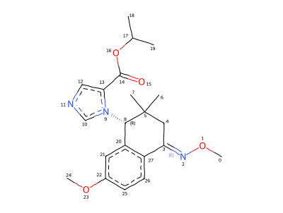 CO/N=C1\CC(C)(C)[C@@H](n2cncc2C(=O)OC(C)C)c2cc(OC)ccc21